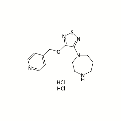 Cl.Cl.c1cc(COc2nsnc2N2CCCNCC2)ccn1